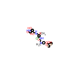 COc1cc(NC(=O)CCN(C)C2CCC(OC(=O)C(O)(c3cccs3)c3cccs3)CC2)c(Cl)cc1CNC[C@H](O)c1ccc(O)c2[nH]c(=O)ccc12